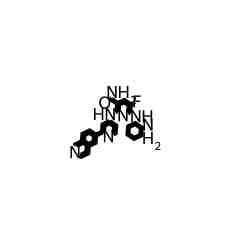 NC(=O)c1cc(F)c(N[C@H]2CCCC[C@H]2N)nc1Nc1ccnc(-c2ccc3cnccc3c2)c1